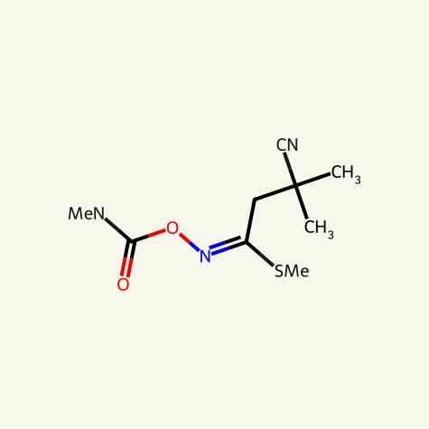 CNC(=O)ON=C(CC(C)(C)C#N)SC